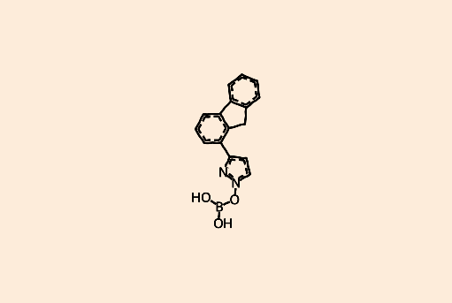 OB(O)On1ccc(-c2cccc3c2Cc2ccccc2-3)n1